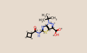 CC(C)(C)n1nc(C(=O)O)c2sc(NC(=O)C3CCC3)nc21